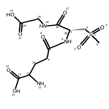 CS(=O)(=O)C[C@H](NC(=O)CCC(N)C(=O)O)C(=O)NCC(=O)O